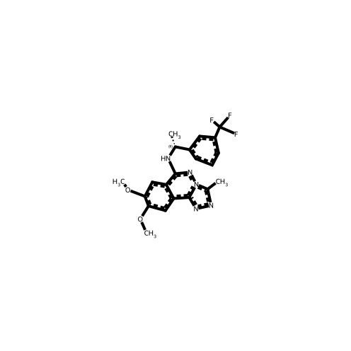 COc1cc2c(N[C@H](C)c3cccc(C(F)(F)F)c3)nn3c(C)nnc3c2cc1OC